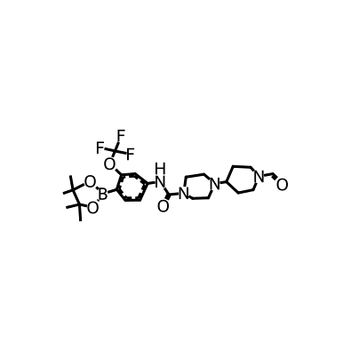 CC1(C)OB(c2ccc(NC(=O)N3CCN(C4CCN(C=O)CC4)CC3)cc2OC(F)(F)F)OC1(C)C